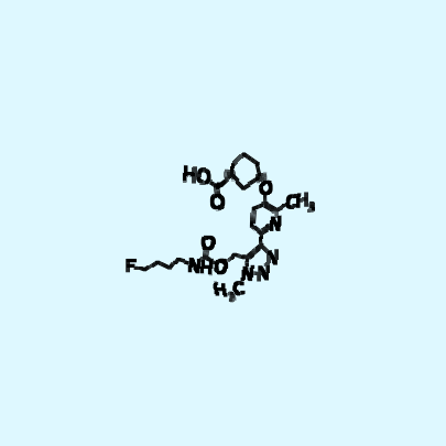 Cc1nc(-c2nnn(C)c2COC(=O)NCCCCF)ccc1O[C@H]1CCC[C@H](C(=O)O)C1